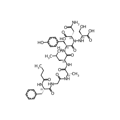 CCCC(=O)N[C@@H](Cc1ccccc1)C(=O)NCC(=O)N[C@@H](C)C(=O)N[C@@H](CC(C)C)C(=O)N[C@@H](Cc1ccc(O)cc1)C(=O)N(N[C@@H](CO)C(=O)O)[C@@H](CC(N)=O)C(=O)O